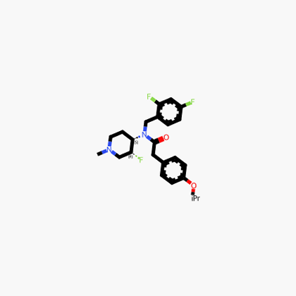 CC(C)Oc1ccc(CC(=O)N(Cc2ccc(F)cc2F)[C@H]2CCN(C)C[C@H]2F)cc1